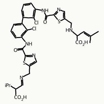 CC(C)=CC(NCc1cnc(C(=O)Nc2cccc(-c3cccc(NC(=O)c4ncc(C/N=C/C(C(=O)O)C(C)C)s4)c3Cl)c2Cl)s1)C(=O)O